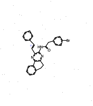 O=C(Cc1ccc(Br)cc1)Nc1nc2c(nc1/C=C/c1ccccc1)-c1ccccc1CC2